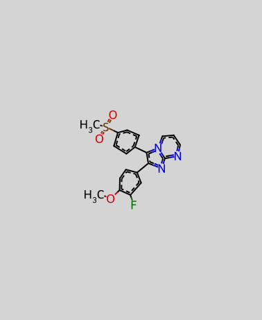 COc1ccc(-c2nc3ncccn3c2-c2ccc(S(C)(=O)=O)cc2)cc1F